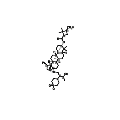 CC(C)[C@@H]1CC[C@]2(NC[C@@H]([C@H](C)O)N3CCS(=O)(=O)CC3)CC[C@]3(C)[C@H](CC[C@@H]4[C@@]5(C)CC[C@H](OC(=O)[C@@H]6C[C@H](C(=O)O)C6(C)C)C(C)(C)[C@@H]5CC[C@]43C)[C@@H]12